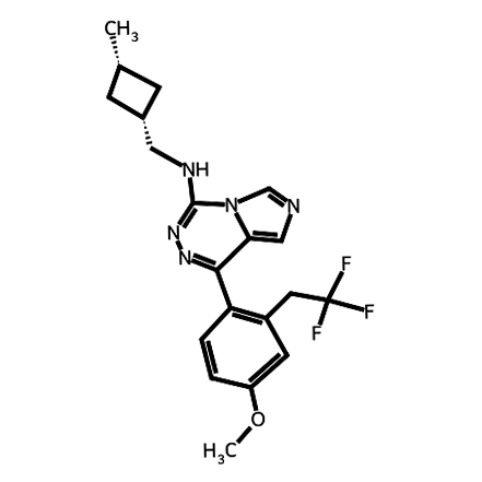 COc1ccc(-c2nnc(NC[C@H]3C[C@@H](C)C3)n3cncc23)c(CC(F)(F)F)c1